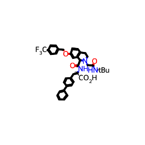 CC(C)(C)NC(=O)CN1CCc2ccc(OCc3ccc(C(F)(F)F)cc3)cc2C1C(=O)N[C@@H](Cc1ccc(-c2ccccc2)cc1)C(=O)O